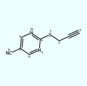 C#CCSc1ncc(C#N)cn1